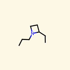 CCCN1CCC1CC